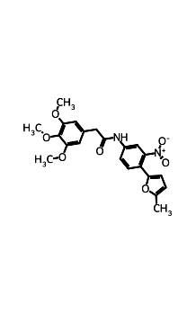 COc1cc(CC(=O)Nc2ccc(-c3ccc(C)o3)c([N+](=O)[O-])c2)cc(OC)c1OC